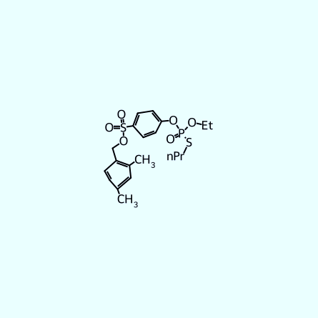 CCCSP(=O)(OCC)Oc1ccc(S(=O)(=O)OCc2ccc(C)cc2C)cc1